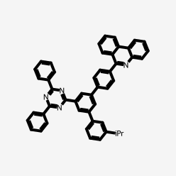 CC(C)c1cccc(-c2cc(-c3ccc(-c4nc5ccccc5c5ccccc45)cc3)cc(-c3nc(-c4ccccc4)nc(-c4ccccc4)n3)c2)c1